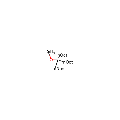 CCCCCCCCCC(CCCCCCCC)(CCCCCCCC)O[SiH3]